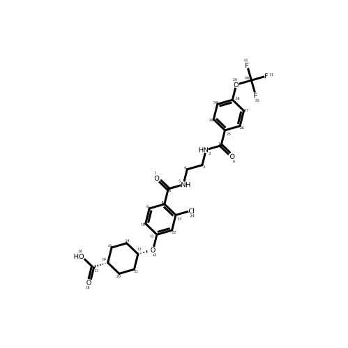 O=C(NCCNC(=O)c1ccc(O[C@H]2CC[C@@H](C(=O)O)CC2)cc1Cl)c1ccc(OC(F)(F)F)cc1